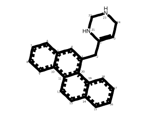 C1=C(Cc2cc3ccccc3c3ccc4ccccc4c23)NCNC1